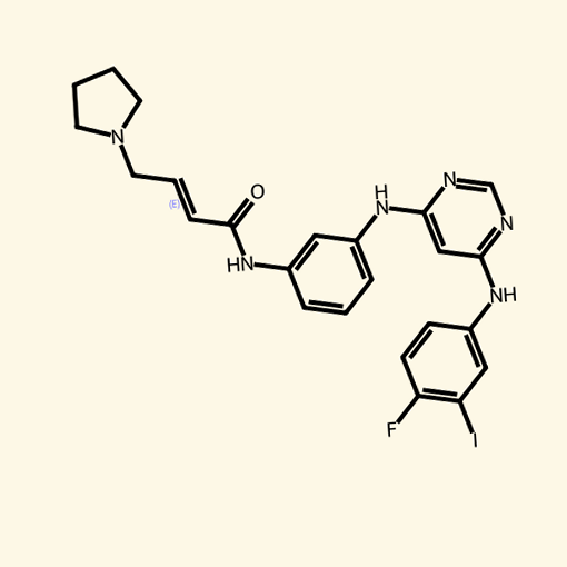 O=C(/C=C/CN1CCCC1)Nc1cccc(Nc2cc(Nc3ccc(F)c(I)c3)ncn2)c1